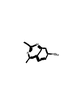 Cc1nc(C)c2ccc(C(C)(C)C)cc2n1